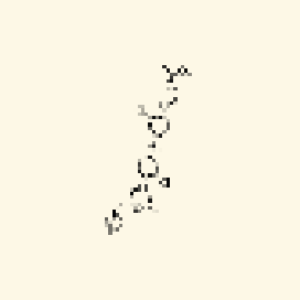 CC(=O)O[C@H](CCl)COc1ccc(C(C)(C)c2ccc(OC[C@H](Cn3ccnc3)OC(C)=O)c(Cl)c2)cc1Cl